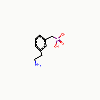 NCCc1cccc(CP(=O)(O)O)c1